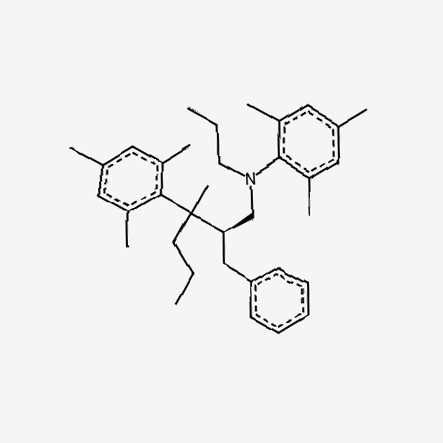 CCCN(C[C@@H](Cc1ccccc1)C(C)(CCC)c1c(C)cc(C)cc1C)c1c(C)cc(C)cc1C